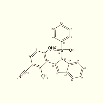 Cc1c(C#N)ccc(O)c1-c1cc2ccccc2n1S(=O)(=O)c1ccccc1